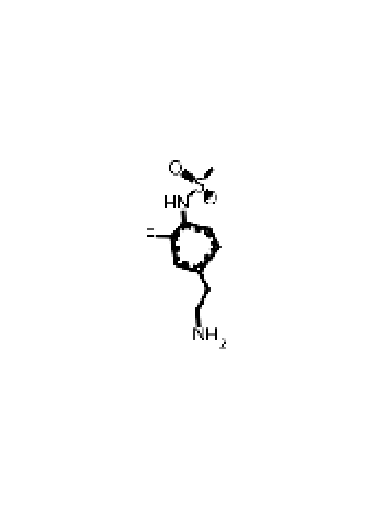 CS(=O)(=O)Nc1ccc(CCN)cc1F